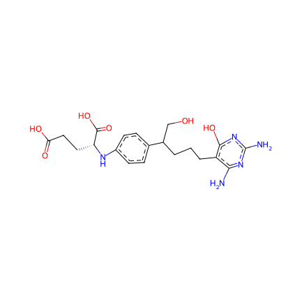 Nc1nc(N)c(CCCC(CO)c2ccc(N[C@H](CCC(=O)O)C(=O)O)cc2)c(O)n1